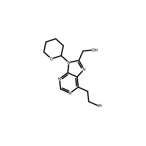 CC(C)CCc1ncnc2c1nc(CO)n2C1CCCCO1